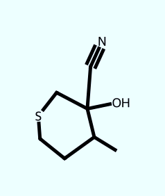 CC1CCSCC1(O)C#N